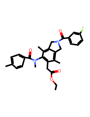 CCOC(=O)Cc1c(C)c2c(c(C)c1N(C)C(=O)c1ccc(C)cc1)CN(C(=O)c1cccc(F)c1)C2